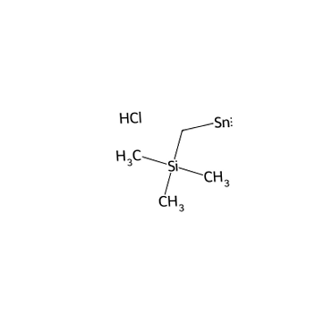 C[Si](C)(C)[CH2][Sn].Cl